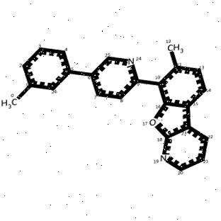 Cc1cccc(-c2ccc(-c3c(C)ccc4c3oc3ncccc34)nc2)c1